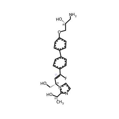 C[C@H](O)c1nccn1[C@@H](/C=C(\F)c1ccc(-c2ccc(OC[C@H](O)CN)cc2)cc1)CO